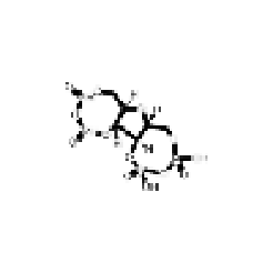 O=[PH]1OC[C@H]2O[C@@H]3COP(=O)(O)OP(=O)(O)O[C@H]3[C@@H]2O[PH](=O)O1